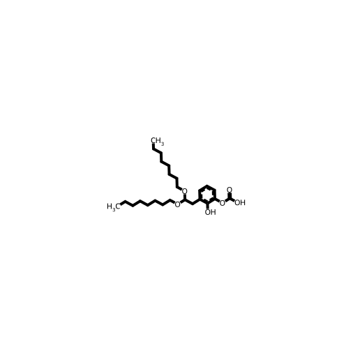 CCCCCCCCOC(Cc1cccc(OC(=O)O)c1O)OCCCCCCCC